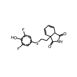 O=C1NC(=O)C2(CCSc3cc(F)c(O)c(F)c3)C=CC=CC12